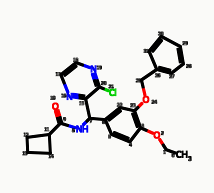 CCOc1ccc(C(NC(=O)C2CCC2)c2nccnc2Cl)cc1OCc1ccccc1